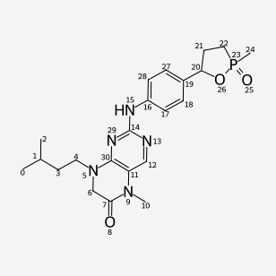 CC(C)CCN1CC(=O)N(C)c2cnc(Nc3ccc(C4CCP(C)(=O)O4)cc3)nc21